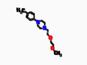 COCCOCCN1CCN(c2ccc(C)cc2)CC1